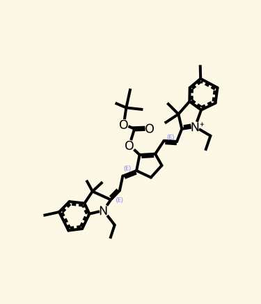 CCN1/C(=C/C=C2\CCC(/C=C/C3=[N+](CC)c4ccc(C)cc4C3(C)C)=C2OC(=O)OC(C)(C)C)C(C)(C)c2cc(C)ccc21